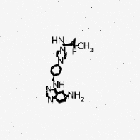 CC1(F)CC1C(=N)N1CCN([C@H]2CC[C@H](CNc3ncnc4ccc(N)cc34)CC2)CC1